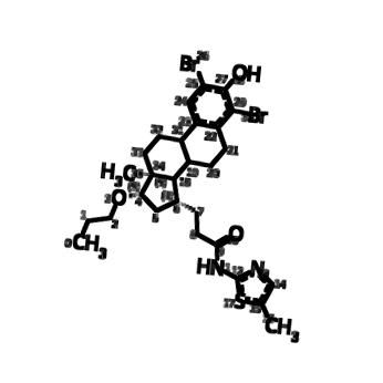 CCCO[C@H]1C[C@@H](CCC(=O)Nc2ncc(C)s2)C2C3CCc4c(cc(Br)c(O)c4Br)C3CC[C@@]21C